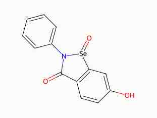 O=C1c2ccc(O)cc2[Se](=O)N1c1ccccc1